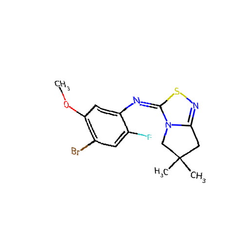 COc1cc(/N=c2/snc3n2CC(C)(C)C3)c(F)cc1Br